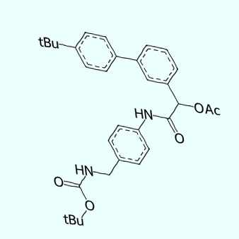 CC(=O)OC(C(=O)Nc1ccc(CNC(=O)OC(C)(C)C)cc1)c1cccc(-c2ccc(C(C)(C)C)cc2)c1